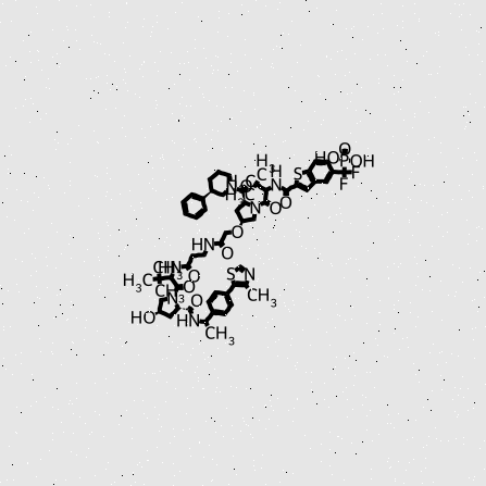 Cc1ncsc1-c1ccc(C(C)NC(=O)[C@@H]2C[C@@H](O)CN2C(=O)C(NC(=O)CCNC(=O)CO[C@H]2C[C@@H](C(=O)N3CCC[C@H](c4ccccc4)C3)N(C(=O)C(NC(=O)c3cc4cc(C(F)(F)P(=O)(O)O)ccc4s3)C(C)(C)C)C2)C(C)(C)C)cc1